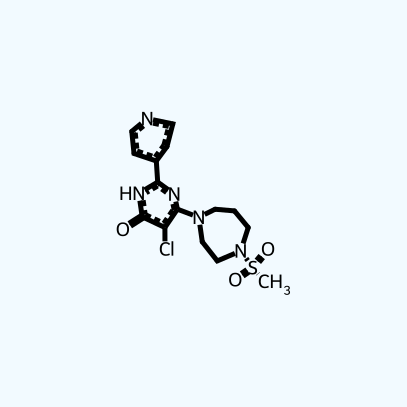 CS(=O)(=O)N1CCCN(c2nc(-c3ccncc3)[nH]c(=O)c2Cl)CC1